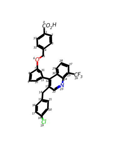 O=C(O)c1ccc(COc2cccc(-c3c(Cc4ccc(Cl)cc4)cnc4c(C(F)(F)F)cccc34)c2)cc1